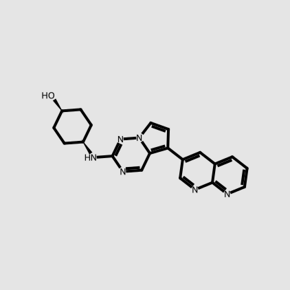 O[C@H]1CC[C@@H](Nc2ncc3c(-c4cnc5ncccc5c4)ccn3n2)CC1